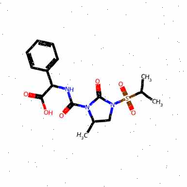 CC1CN(S(=O)(=O)C(C)C)C(=O)N1C(=O)NC(C(=O)O)c1ccccc1